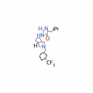 CC(C)C[C@H](N)C(=O)NC1CC[C@H]2CN(Cc3cccc(C(F)(F)F)c3)CC12